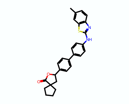 Cc1ccc2nc(Nc3ccc(-c4ccc(C5CC6(CCCC6)C(=O)O5)cc4)cc3)sc2c1